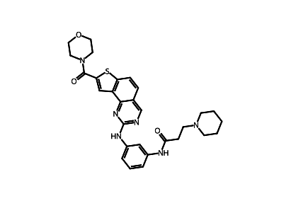 O=C(CCN1CCCCC1)Nc1cccc(Nc2ncc3ccc4sc(C(=O)N5CCOCC5)cc4c3n2)c1